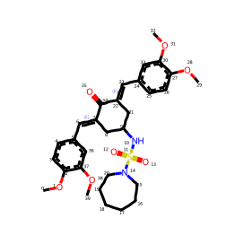 COc1ccc(/C=C2\CC(NS(=O)(=O)N3CCCCCC3)C/C(=C\c3ccc(OC)c(OC)c3)C2=O)cc1OC